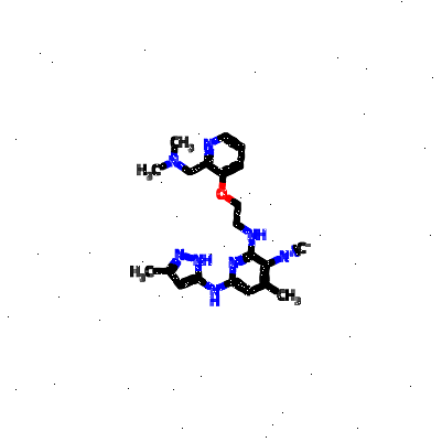 [C-]#[N+]c1c(C)cc(Nc2cc(C)n[nH]2)nc1NCCOc1cccnc1CN(C)C